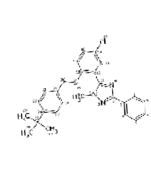 Cn1nc(-c2ccccc2)nc1-c1nc(Cl)ccc1SCc1ccc(C(C)(C)C)cc1